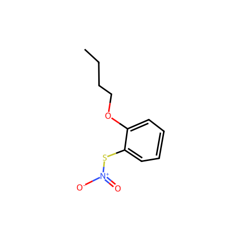 CCCCOc1ccccc1S[N+](=O)[O-]